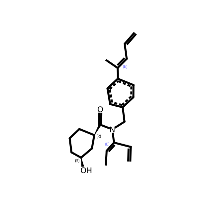 C=C/C=C(\C)c1ccc(CN(C(=O)[C@@H]2CCC[C@H](O)C2)/C(C=C)=C/C)cc1